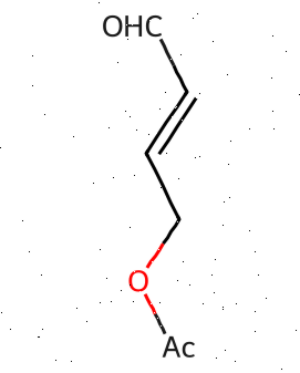 CC(=O)OC/C=C/C=O